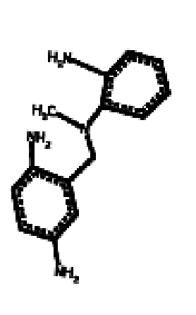 CN(Cc1cc(N)ccc1N)c1ccccc1N